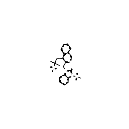 CC(C)(Cc1c(Cn2c(=O)n(S(C)(=O)=O)c3ccccc32)ncc2ccccc12)S(C)(=O)=O